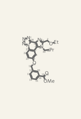 CCOCc1nc2c(c3cc(OCc4cccc(C(=O)OC)c4)ccc3n3nnnc23)n1CC(C)C